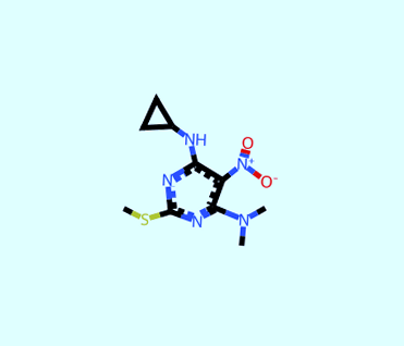 CSc1nc(NC2CC2)c([N+](=O)[O-])c(N(C)C)n1